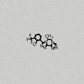 C[C@H]1Cn2cnnc2-c2nnc(-c3cccc(C(F)(F)F)c3Cl)n21